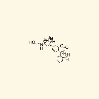 [2H]C([2H])([2H])c1ccccc1-c1cc(=O)oc2cc(N(CC(=O)NCCO)C([2H])([2H])[2H])ccc12